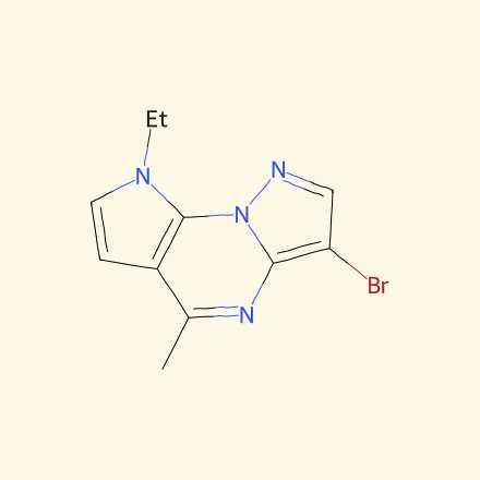 CCn1ccc2c(C)nc3c(Br)cnn3c21